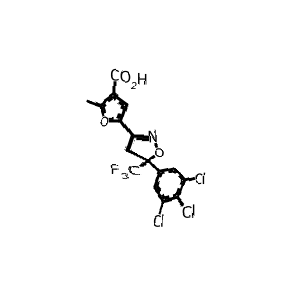 Cc1oc(C2=NOC(c3cc(Cl)c(Cl)c(Cl)c3)(C(F)(F)F)C2)cc1C(=O)O